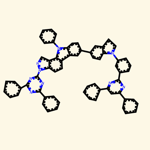 c1ccc(-c2cc(-c3ccccc3)nc(-c3cccc(-n4ccc5cc(-c6ccc7c(c6)c6ccc8c(cnn8-c8nc(-c9ccccc9)nc(-c9ccccc9)n8)c6n7-c6ccccc6)ccc54)c3)n2)cc1